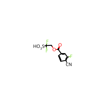 N#Cc1ccc(C(=O)OCC(F)(F)S(=O)(=O)O)cc1F